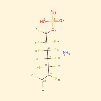 N.O=P(O)(O)OC(F)C(F)(F)C(F)(F)C(F)(F)C(F)(F)C(F)C(F)F